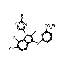 CCOC(=O)c1cccc(Sc2c(C)n(-c3noc(CC)n3)c3c(F)c(Cl)ccc23)c1